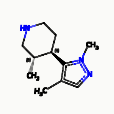 Cc1cnn(C)c1[C@@H]1CCNC[C@H]1C